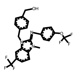 Cn1/c(=N\c2ccc(OC(F)(F)F)cc2)n(Cc2ccc(CO)cc2)c2cc(C(F)(F)F)ccc21